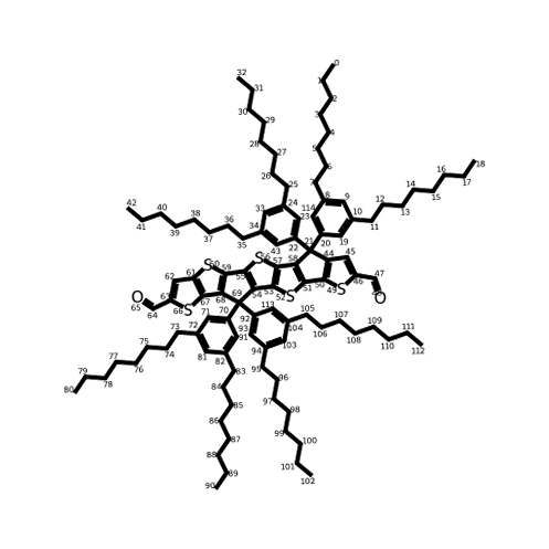 CCCCCCCCc1cc(CCCCCCCC)cc(C2(c3cc(CCCCCCCC)cc(CCCCCCCC)c3)c3cc(C=O)sc3-c3sc4c5c(sc4c32)-c2sc3cc(C=O)sc3c2C5(c2cc(CCCCCCCC)cc(CCCCCCCC)c2)c2cc(CCCCCCCC)cc(CCCCCCCC)c2)c1